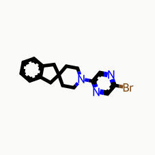 Brc1cnc(N2CCC3(CC2)Cc2ccccc2C3)cn1